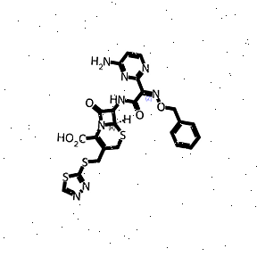 Nc1ccnc(/C(=N/OCc2ccccc2)C(=O)NC2C(=O)N3C(C(=O)O)=C(CSc4nncs4)CS[C@H]23)n1